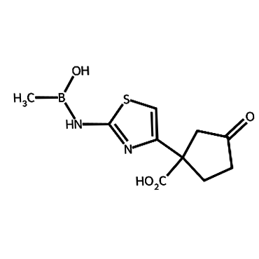 CB(O)Nc1nc(C2(C(=O)O)CCC(=O)C2)cs1